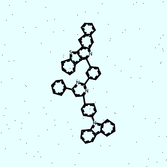 c1ccc(-c2cc(-c3ccc(-n4c5ccccc5c5ccccc54)cc3)nc(-c3cccc(-c4nc5cc6ccccc6cc5c5sc6ccccc6c45)c3)n2)cc1